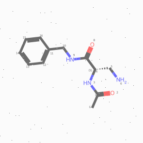 CC(=O)N[C@@H](CN)C(=O)NCc1ccccc1